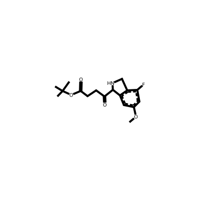 COc1cc(F)c2c(c1)C(C(=O)CCC(=O)OC(C)(C)C)NC2